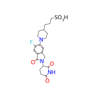 O=C1CCC(N2Cc3cc(N4CCC(CCCS(=O)(=O)O)CC4)c(F)cc3C2=O)C(=O)N1